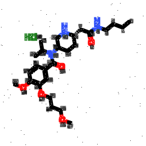 CCCCNC(=O)C[C@@H]1CC[C@@H](N(C(=O)c2ccc(OC)c(OCCCOC)c2)C(C)C)CN1.Cl